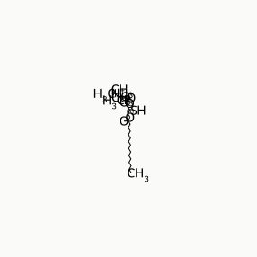 CCCCCCCCCCCCCCCC(=O)OC[C@@H](S)COP(=O)(OC)OCC[N+](C)(C)C